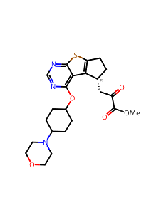 COC(=O)C(=O)C[C@H]1CCc2sc3ncnc(OC4CCC(N5CCOCC5)CC4)c3c21